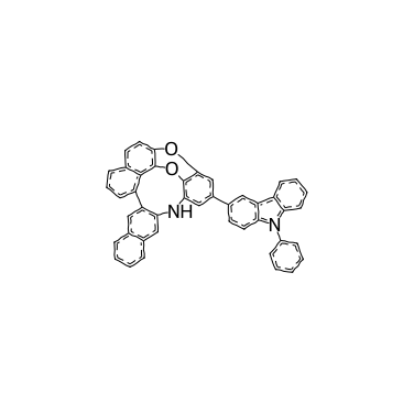 c1ccc(-n2c3ccccc3c3cc(-c4cc5c6c(c4)Oc4ccc7cccc(c7c4O6)-c4cc6ccccc6cc4N5)ccc32)cc1